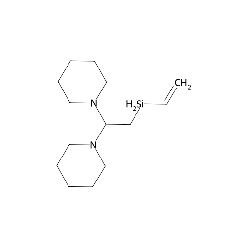 C=C[SiH2]CC(N1CCCCC1)N1CCCCC1